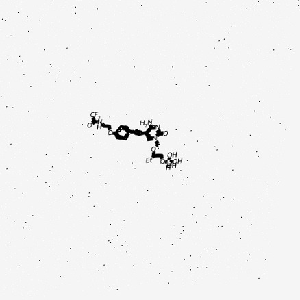 CCC(CO[PH](O)(O)O)OCn1cc(C#Cc2ccc(OCCNC(=O)C(F)(F)F)cc2)c(N)nc1=O